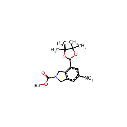 CC(C)(C)OC(=O)N1Cc2cc([N+](=O)[O-])cc(B3OC(C)(C)C(C)(C)O3)c2C1